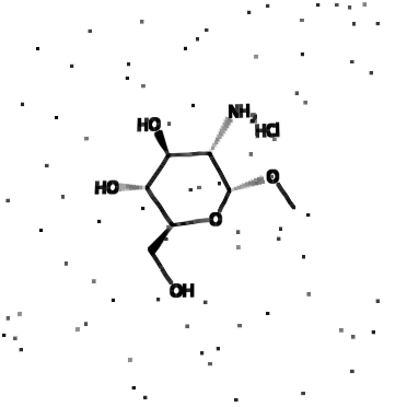 CO[C@@H]1O[C@@H](CO)[C@H](O)[C@@H](O)[C@@H]1N.Cl